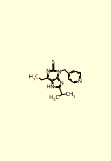 CCc1nc(=S)n(Cc2ccncc2)c2nc(C(C)C)[nH]c12